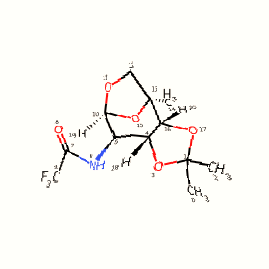 CC1(C)O[C@@H]2[C@@H](NC(=O)C(F)(F)F)[C@H]3OC[C@](C)(O3)[C@@H]2O1